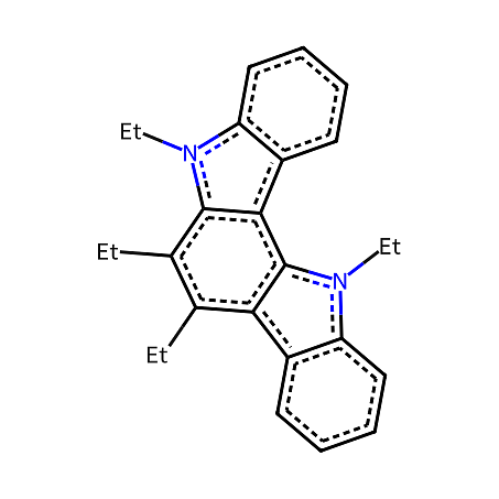 CCc1c(CC)c2c(c3ccccc3n2CC)c2c1c1ccccc1n2CC